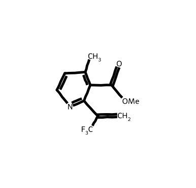 C=C(c1nccc(C)c1C(=O)OC)C(F)(F)F